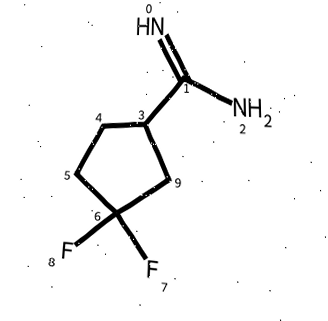 N=C(N)C1CCC(F)(F)C1